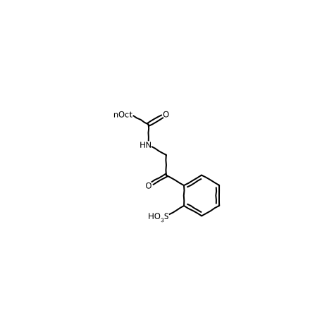 CCCCCCCCC(=O)NCC(=O)c1ccccc1S(=O)(=O)O